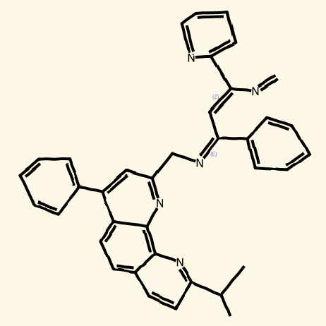 C=N/C(=C\C(=N/Cc1cc(-c2ccccc2)c2ccc3ccc(C(C)C)nc3c2n1)c1ccccc1)c1ccccn1